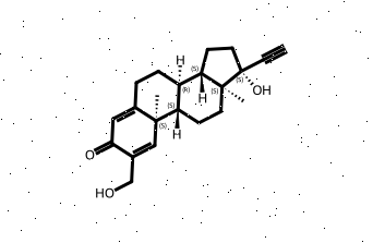 C#C[C@]1(O)CC[C@H]2[C@@H]3CCC4=CC(=O)C(CO)=C[C@]4(C)[C@H]3CC[C@@]21C